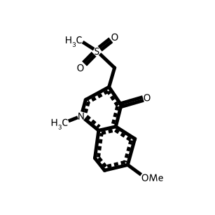 COc1ccc2c(c1)c(=O)c(CS(C)(=O)=O)cn2C